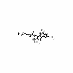 CCCCOC(=O)NC[C@H](NC(=O)c1cn(C)nc1C(F)(F)F)C(=O)NC